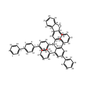 c1ccc(-c2ccc(-c3ccc(N(c4ccc5oc6ccccc6c5c4)c4c(-c5ccccc5)cc(-c5ccccc5)cc4-c4ccccc4)cc3)cc2)cc1